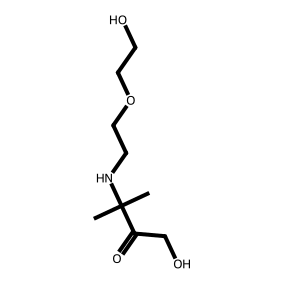 CC(C)(NCCOCCO)C(=O)CO